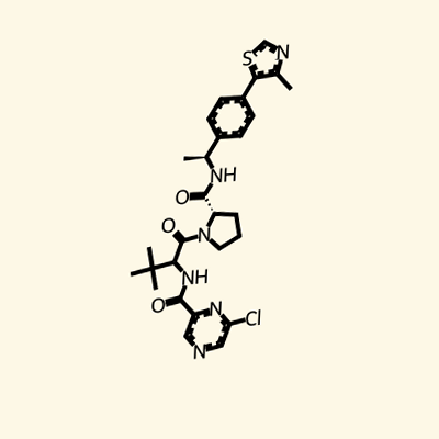 Cc1ncsc1-c1ccc([C@H](C)NC(=O)[C@@H]2CCCN2C(=O)C(NC(=O)c2cncc(Cl)n2)C(C)(C)C)cc1